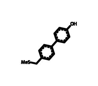 CSCc1ccc(-c2ccc(O)cc2)cc1